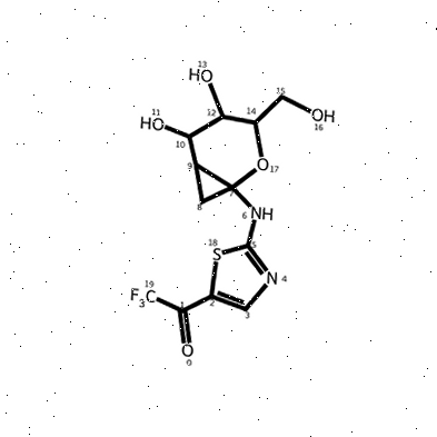 O=C(c1cnc(NC23CC2C(O)C(O)C(CO)O3)s1)C(F)(F)F